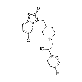 O=c1sc2ccc(Cl)cc2n1CC1CCN(C[C@H](O)c2ccc(F)cc2)CC1